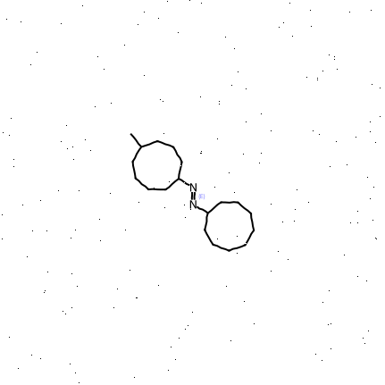 CC1CCCCC(/N=N/C2CCCCCCCC2)CCC1